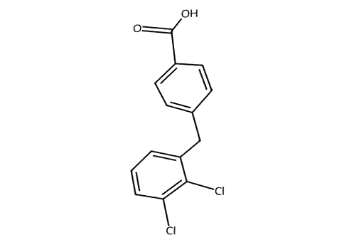 O=C(O)c1ccc(Cc2cccc(Cl)c2Cl)cc1